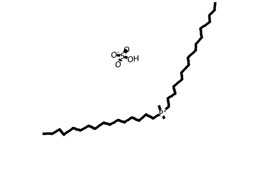 CCCCCCCCCCCCCCCC[P+](C)(C)CCCCCCCCCCCCCCCC.O=S(=O)([O-])O